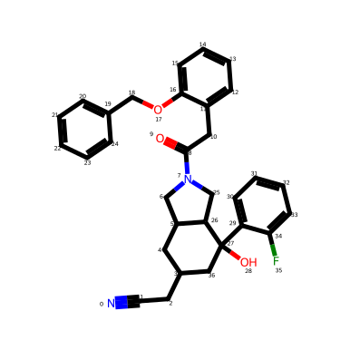 N#CCC1CC2CN(C(=O)Cc3ccccc3OCc3ccccc3)CC2C(O)(c2ccccc2F)C1